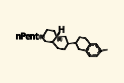 CCCCC[C@@H]1CC[C@@H]2CC(C3CCc4cc(C)ccc4C3)CCC2C1